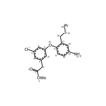 COC(=O)Cc1cc(Cl)cc(Oc2ccc(N)cc2CSC(C)C)c1